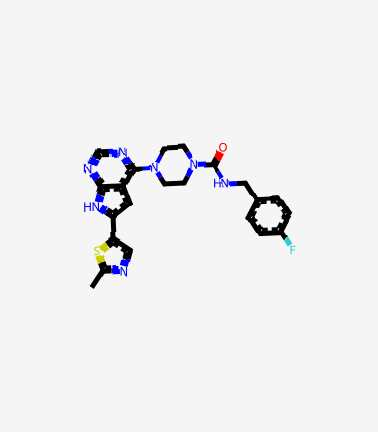 Cc1ncc(-c2cc3c(N4CCN(C(=O)NCc5ccc(F)cc5)CC4)ncnc3[nH]2)s1